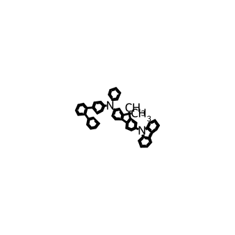 CC1(C)c2cc(N(c3ccccc3)c3ccc(-c4ccccc4-c4ccccc4)cc3)ccc2-c2ccc(-n3c4ccccc4c4ccccc43)cc21